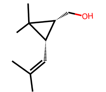 CC(C)=C[C@H]1[C@@H](CO)C1(C)C